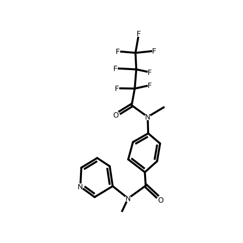 CN(C(=O)c1ccc(N(C)C(=O)C(F)(F)C(F)(F)C(F)(F)F)cc1)c1cccnc1